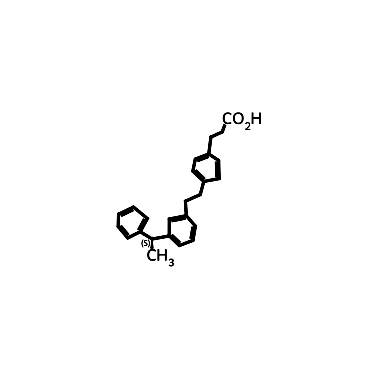 C[C@@H](c1ccccc1)c1cccc(CCc2ccc(CCC(=O)O)cc2)c1